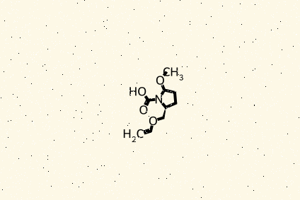 C=COC[C@@H]1CCC(OC)N1C(=O)O